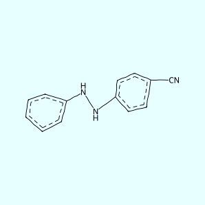 N#Cc1ccc(NNc2ccccc2)cc1